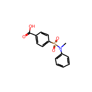 CN(c1ccccc1)S(=O)(=O)c1ccc(C(=O)O)cc1